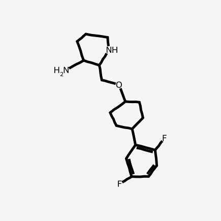 NC1CCCNC1COC1CCC(c2cc(F)ccc2F)CC1